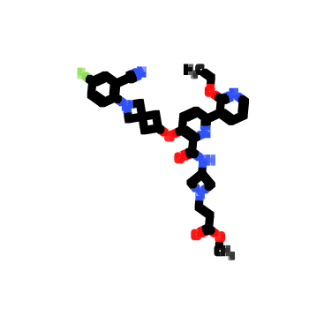 CCOc1ncccc1-c1ccc(OC2CC3(C2)CN(c2ccc(F)cc2C#N)C3)c(C(=O)NC2CN(CCC(=O)OC)C2)n1